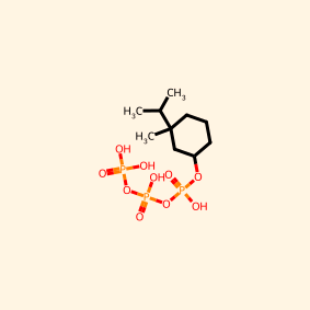 CC(C)C1(C)CCCC(OP(=O)(O)OP(=O)(O)OP(=O)(O)O)C1